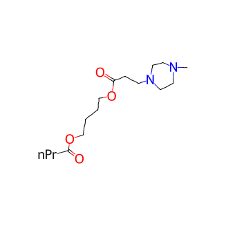 CCCC(=O)OCCCCOC(=O)CCN1CCN(C)CC1